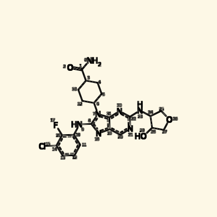 NC(=O)C1CCC(n2c(Nc3cccc(Cl)c3F)nc3cnc(NC4COCC4O)nc32)CC1